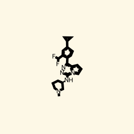 CN1CCC[C@@H](Nc2nnc(-c3ccc(C4CC4)cc3C(F)F)c3cccn23)C1